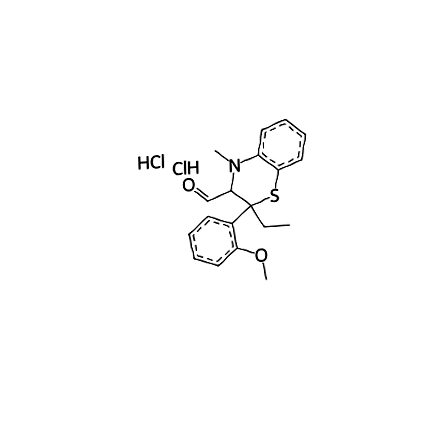 CCC1(c2ccccc2OC)Sc2ccccc2N(C)C1C=O.Cl.Cl